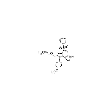 C=CCOCc1nc2c(S(=O)(=O)c3ccccc3)nc3[nH]ccc3c2n1C1CCC(OC)CC1